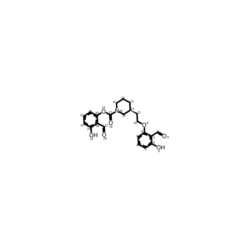 O=Cc1c(O)cccc1OCC[C@@H]1CCCN(C(=O)Oc2cccc(O)c2C=O)C1